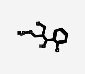 COCC(CCl)C(O)c1ccccc1Cl